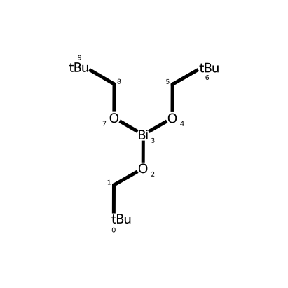 CC(C)(C)C[O][Bi]([O]CC(C)(C)C)[O]CC(C)(C)C